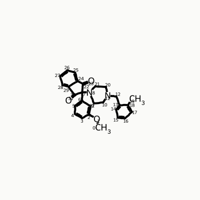 COc1cccc(C2(N3CCN(Cc4ccccc4C)CC3)C(=O)c3ccccc3C2=O)c1